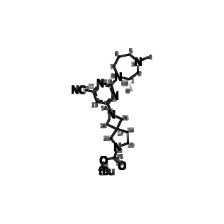 C[C@H]1CN(C)CCCN1c1nc(C#N)cc(N2CC3(CCN(C(=O)OC(C)(C)C)C3)C2)n1